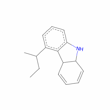 CCC(C)c1cccc2c1C1C=CC=CC1N2